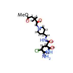 COC(=O)CC(C)(C)C(=O)CN1CCC(CNC(=O)c2cc(Cl)c(N)[nH]c2=O)CC1